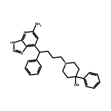 Nc1cc(C(CCCN2CCC(O)(c3ccccc3)CC2)c2ccccc2)c2nn[nH]c2n1